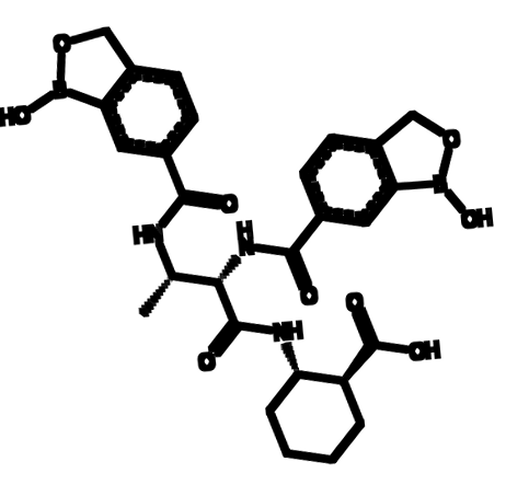 C[C@H](NC(=O)c1ccc2c(c1)B(O)OC2)[C@H](NC(=O)c1ccc2c(c1)B(O)OC2)C(=O)N[C@H]1CCCC[C@@H]1C(=O)O